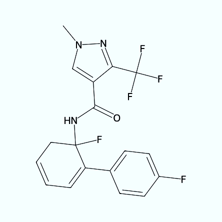 Cn1cc(C(=O)NC2(F)CC=CC=C2c2ccc(F)cc2)c(C(F)(F)F)n1